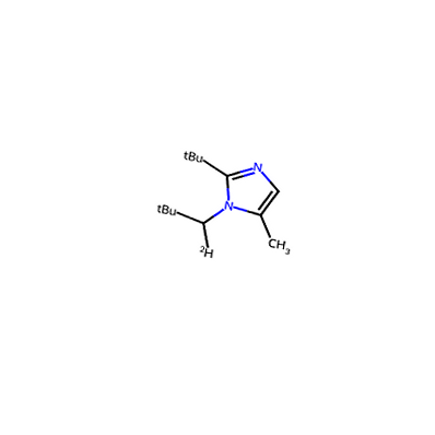 [2H]C(n1c(C)cnc1C(C)(C)C)C(C)(C)C